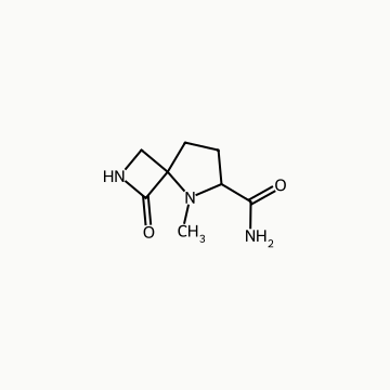 CN1C(C(N)=O)CCC12CNC2=O